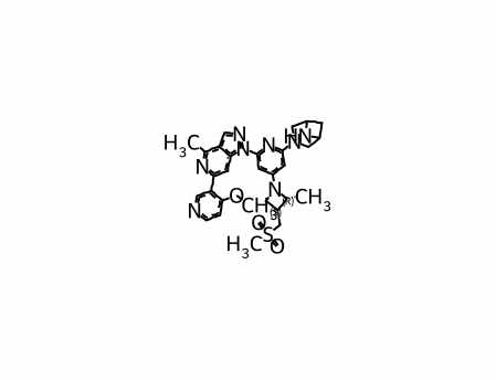 COc1ccncc1-c1cc2c(cnn2-c2cc(N3C[C@H](CS(C)(=O)=O)[C@H]3C)cc(N3CC4CC(C3)N4)n2)c(C)n1